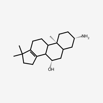 CC1(C)CCC2=C1CCC1C2[C@@H](O)CC2C[C@@H](N)CC[C@@]21C